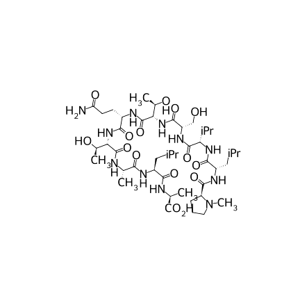 CC(C)C[C@H](NC(=O)[C@H](C)NC(=O)[C@@H](NC(=O)[C@H](CCC(N)=O)NC(=O)[C@@H](NC(=O)[C@H](CO)NC(=O)[C@@H](NC(=O)[C@H](CC(C)C)NC(=O)[C@@H]1CCCN1C)C(C)C)[C@@H](C)O)[C@@H](C)O)C(=O)N[C@@H](C)C(=O)O